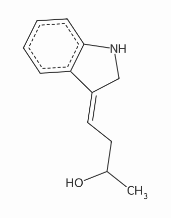 CC(O)CC=C1CNc2ccccc21